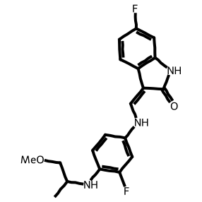 COCC(C)Nc1ccc(NC=C2C(=O)Nc3cc(F)ccc32)cc1F